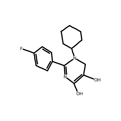 OC1=C(O)N=C(c2ccc(F)cc2)N(C2CCCCC2)C1